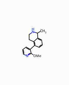 COc1ncccc1-c1cccc2c1CCNC2C